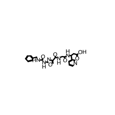 O=C(O)CC(NC(=O)CNC(=O)c1coc(NC(=O)NCc2ccccc2)n1)c1cccnc1